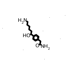 NCCCCCC(O)c1ccc(CC(N)=O)cc1